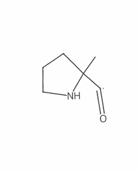 CC1([C]=O)CCCN1